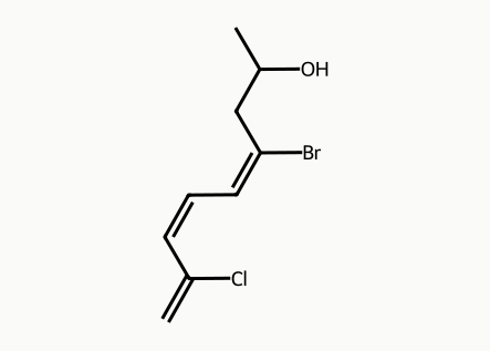 C=C(Cl)/C=C\C=C(\Br)CC(C)O